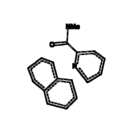 CNC(=O)c1ccccn1.c1ccc2ccccc2c1